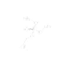 CCCOP(=O)(OCCC)OCC(F)(F)F